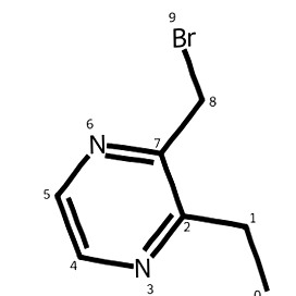 CCc1nccnc1CBr